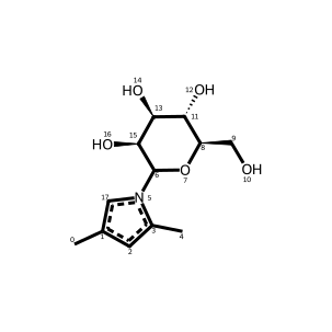 Cc1cc(C)n(C2O[C@H](CO)[C@@H](O)[C@H](O)[C@@H]2O)c1